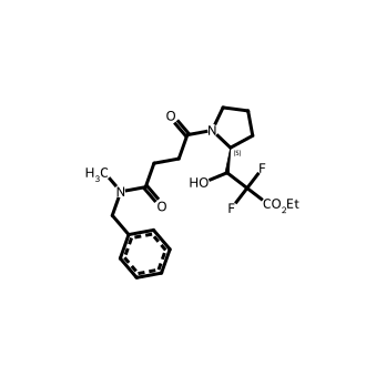 CCOC(=O)C(F)(F)C(O)[C@@H]1CCCN1C(=O)CCC(=O)N(C)Cc1ccccc1